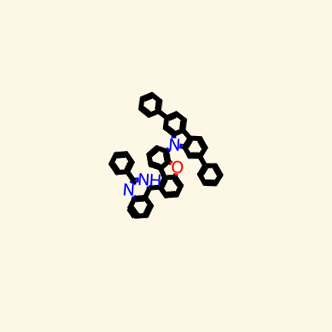 c1ccc2c(c#1)N=C(c1ccccc1)NC2c1cccc2oc3c(-n4c5cc(-c6ccccc6)ccc5c5ccc(-c6ccccc6)cc54)cccc3c12